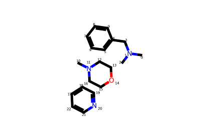 CN(C)Cc1ccccc1.CN1CCOCC1.c1ccncc1